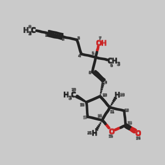 CC#CCCC(C)(O)/C=C/[C@@H]1[C@H]2CC(=O)O[C@H]2C[C@H]1C